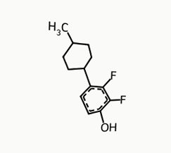 CC1CCC(c2ccc(O)c(F)c2F)CC1